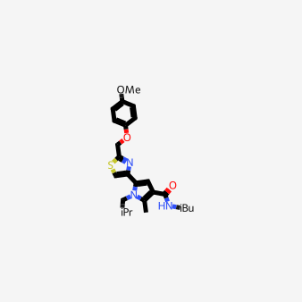 CCC(C)NC(=O)c1cc(-c2csc(COc3ccc(OC)cc3)n2)n(CC(C)C)c1C